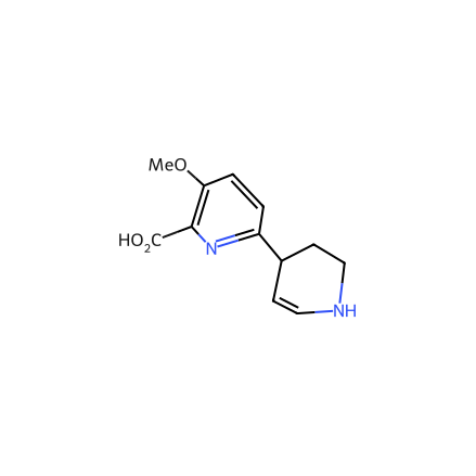 COc1ccc(C2C=CNCC2)nc1C(=O)O